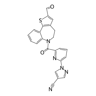 N#Cc1cnn(-c2cccc(C(=O)N3CCc4cc(C=O)sc4-c4ccccc43)n2)c1